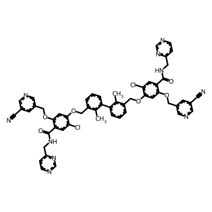 Cc1c(COc2cc(OCc3cncc(C#N)c3)c(C(=O)NCc3ccncn3)cc2Cl)cccc1-c1cccc(COc2cc(OCc3cncc(C#N)c3)c(C(=O)NCc3ccncn3)cc2Cl)c1C